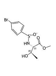 COC(=O)[C@@H](N[S+]([O-])c1ccc(Br)cc1)[C@@H](C)O